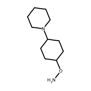 NOC1CCC(N2CCCCC2)CC1